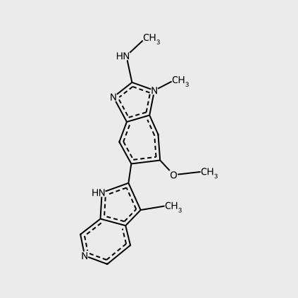 CNc1nc2cc(-c3[nH]c4cnccc4c3C)c(OC)cc2n1C